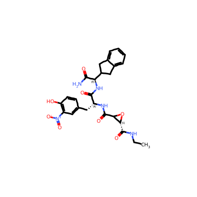 CCNC(=O)[C@H]1OC1C(=O)N[C@H](Cc1ccc(O)c([N+](=O)[O-])c1)C(=O)N[C@@H](C(N)=O)C1Cc2ccccc2C1